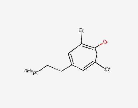 CCCCCCCCCc1cc(CC)c([O])c(CC)c1